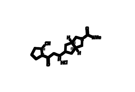 CNC(=O)N1C[C@H]2CC(NCC(=O)N3CCC[C@H]3C#N)C[C@H]2C1.Cl